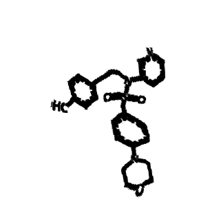 [CH]c1ccc(CN(c2cccnc2)S(=O)(=O)c2ccc(N3CCOCC3)cc2)cc1